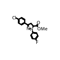 COC(=O)C1CC(c2ccc(Cl)cc2)=NN1c1ccc(F)cc1